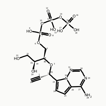 C#C[C@H](O[C@H](COP(=O)(O)OP(=O)(O)OP(=O)(O)O)[C@@H](O)CO)c1ccc2c(N)ncnn12